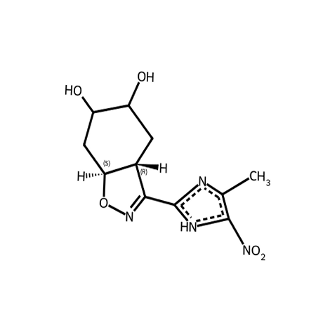 Cc1nc(C2=NO[C@H]3CC(O)C(O)C[C@H]23)[nH]c1[N+](=O)[O-]